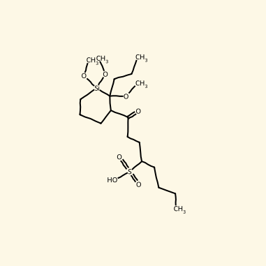 CCCCC(CCC(=O)C1CCC[Si](OC)(OC)C1(CCC)OC)S(=O)(=O)O